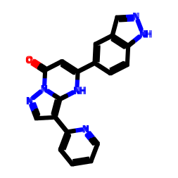 O=c1cc(-c2ccc3[nH]ncc3c2)[nH]c2c(-c3ccccn3)cnn12